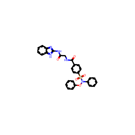 O=C(CNC(=O)c1ccc(S(=O)(=O)N(Oc2ccccc2)c2ccccc2)cc1)Nc1nc2ccccc2[nH]1